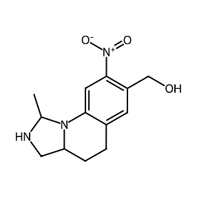 CC1NCC2CCc3cc(CO)c([N+](=O)[O-])cc3N21